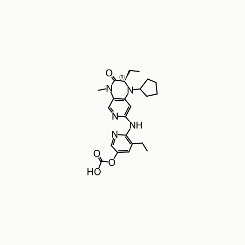 CCc1cc(OC(=O)O)cnc1Nc1cc2c(cn1)N(C)C(=O)[C@@H](CC)N2C1CCCC1